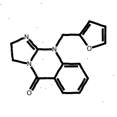 O=C1c2ccccc2N(Cc2ccco2)C2=NCCN12